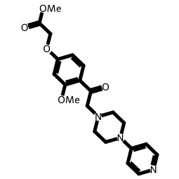 COC(=O)COc1ccc(C(=O)CN2CCN(c3ccncc3)CC2)c(OC)c1